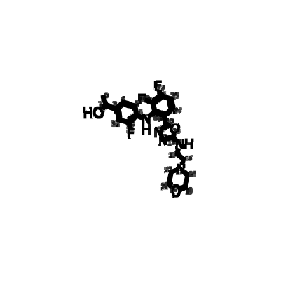 CC(O)c1ccc(Nc2c(-c3nnc(NCCN4CCOCC4)o3)ccc(F)c2F)c(F)c1